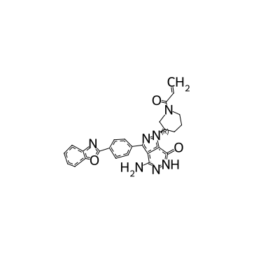 C=CC(=O)N1CCC[C@@H](n2nc(-c3ccc(-c4nc5ccccc5o4)cc3)c3c(N)n[nH]c(=O)c32)C1